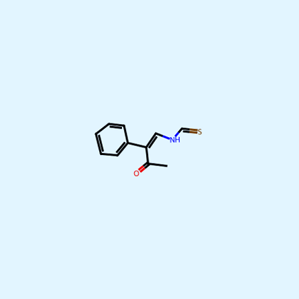 CC(=O)/C(=C\NC=S)c1ccccc1